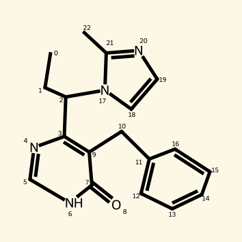 CCC(c1nc[nH]c(=O)c1Cc1ccccc1)n1ccnc1C